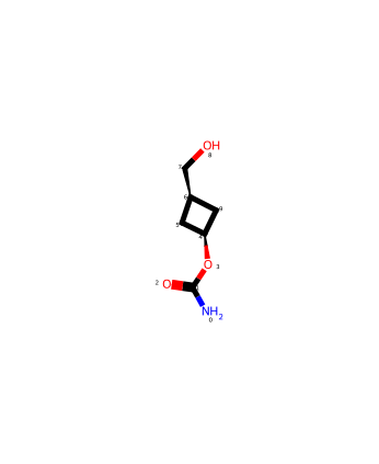 NC(=O)O[C@H]1C[C@@H](CO)C1